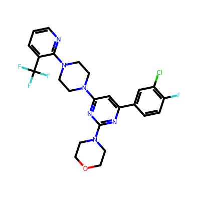 Fc1ccc(-c2cc(N3CCN(c4ncccc4C(F)(F)F)CC3)nc(N3CCOCC3)n2)cc1Cl